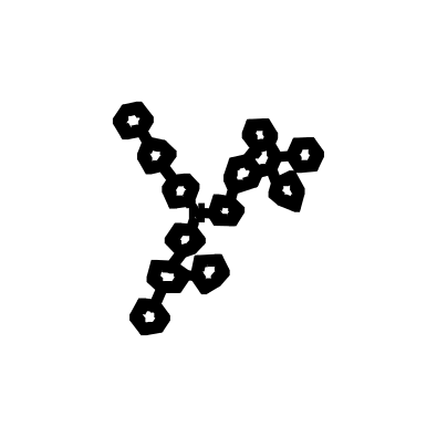 c1ccc(-c2ccc(-c3ccc(N(c4ccc(-c5ccc(-c6ccccc6)cc5-c5ccccc5)cc4)c4cccc(-c5ccc6c(c5)c(-c5ccccc5)c(-c5ccccc5)c5ccccc56)c4)cc3)cc2)cc1